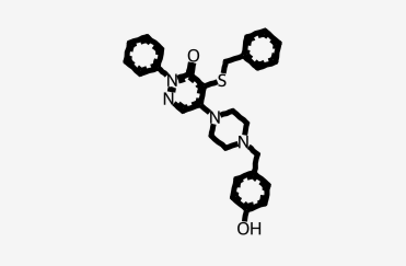 O=c1c(SCc2ccccc2)c(N2CCN(Cc3ccc(O)cc3)CC2)cnn1-c1ccccc1